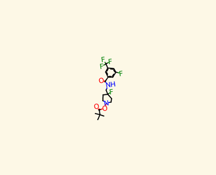 CC(C)(C)C(=O)ON1CCC(F)(CNC(=O)c2cc(F)cc(C(F)(F)F)c2)CC1